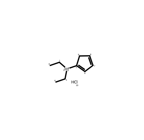 C[CH2][Hf]([CH2]C)[C]1=CC=CC1.Cl